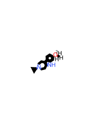 [2H]C([2H])([2H])Oc1ccc2c3c([nH]c2c1)CCN(C1CC1)CC3